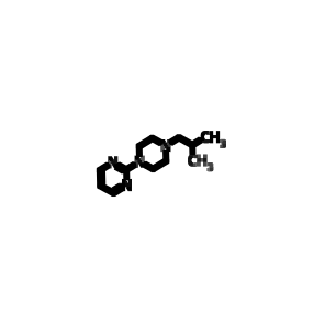 CC(C)CN1CCN(c2ncccn2)CC1